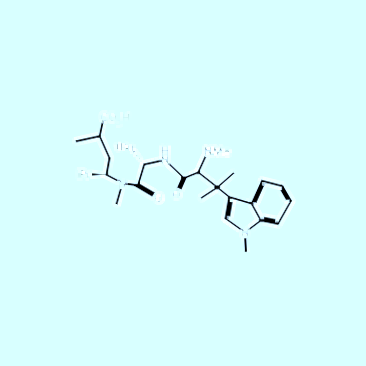 CNC(C(=O)N[C@H](C(=O)N(C)[C@H](CC(C)C(=O)O)C(C)C)C(C)(C)C)C(C)(C)c1cn(C)c2ccccc12